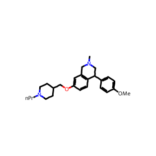 CCCN1CCC(COc2ccc3c(c2)CN(C)CC3c2ccc(OC)cc2)CC1